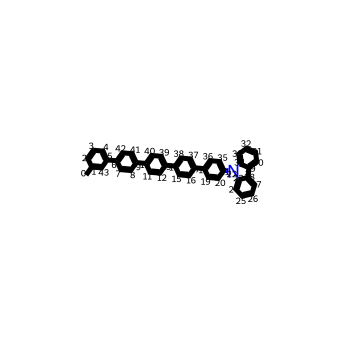 Cc1cccc(-c2ccc(-c3ccc(-c4ccc(-c5ccc(-n6c7ccccc7c7ccccc76)cc5)cc4)cc3)cc2)c1